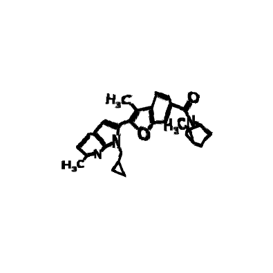 Cc1ccc2cc(-c3oc4cc(C(=O)N5CC6CCC5C6C)ccc4c3C)n(CC3CC3)c2n1